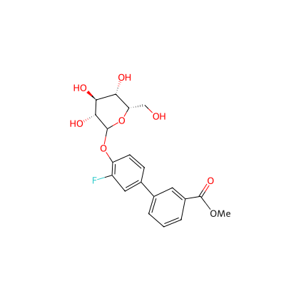 COC(=O)c1cccc(-c2ccc(OC3O[C@@H](CO)[C@@H](O)[C@H](O)[C@H]3O)c(F)c2)c1